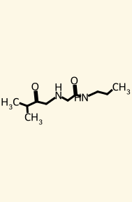 CCCNC(=O)CNCC(=O)C(C)C